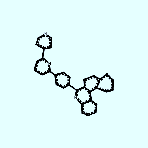 c1cc(-c2ccncc2)nc(-c2ccc(-c3nc4ccccc4c4c3ccc3ccccc34)cc2)c1